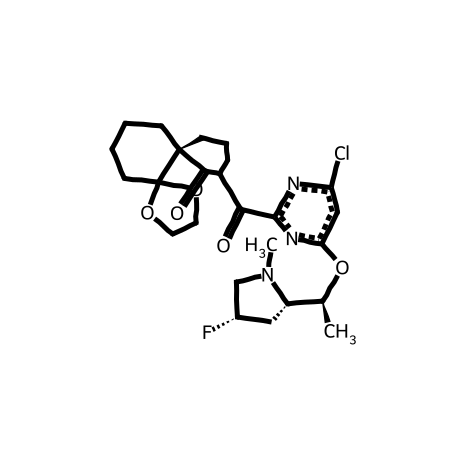 C[C@H](Oc1cc(Cl)nc(C(=O)C2CCC[C@@]3(CCCCC34OCCO4)C2=O)n1)[C@@H]1C[C@H](F)CN1C